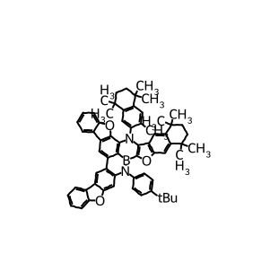 Cc1cc2c(cc1N1c3c(oc4cc5c(cc34)C(C)(C)CCC5(C)C)B3c4c(cc5c(oc6ccccc65)c41)-c1cc4c(cc1N3c1ccc(C(C)(C)C)cc1)oc1ccccc14)C(C)(C)CCC2(C)C